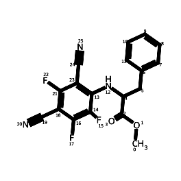 COC(=O)C(Cc1ccccc1)Nc1c(F)c(F)c(C#N)c(F)c1C#N